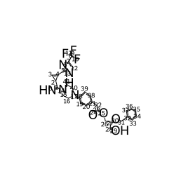 N=C(C1C=C1c1nc(C(F)(F)F)c[nH]1)N1CCN(c2ccc(CC(=O)OCC(CO)OCc3ccccc3)cc2)CC1